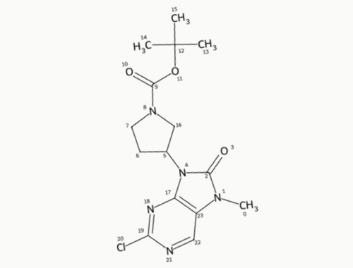 Cn1c(=O)n(C2CCN(C(=O)OC(C)(C)C)C2)c2nc(Cl)ncc21